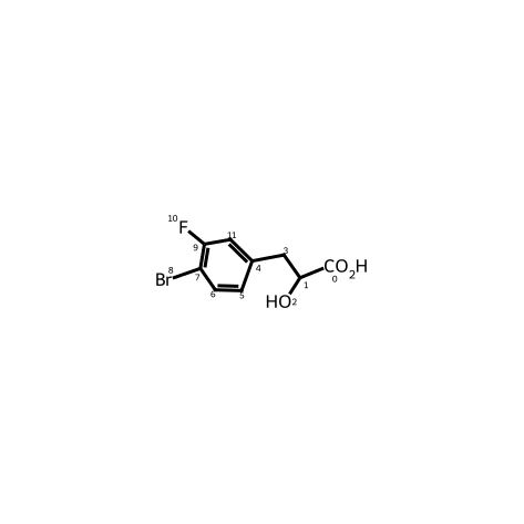 O=C(O)C(O)Cc1ccc(Br)c(F)c1